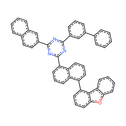 c1ccc(-c2cccc(-c3nc(-c4ccc5ccccc5c4)nc(-c4cccc5c(-c6cccc7oc8ccccc8c67)cccc45)n3)c2)cc1